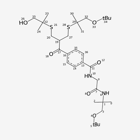 CC(C)(COC(C)(C)C)NC(=O)CNC(=O)c1ccc(C(=O)C(CSC(C)(C)CO)CSC(C)(C)COC(C)(C)C)cc1